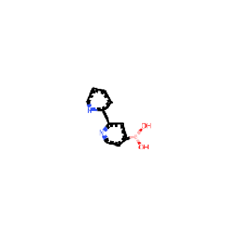 OB(O)c1ccnc(-c2ccccn2)c1